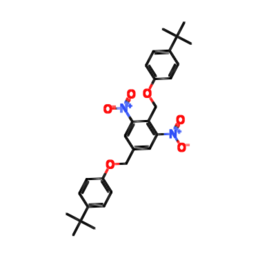 CC(C)(C)c1ccc(OCc2cc([N+](=O)[O-])c(COc3ccc(C(C)(C)C)cc3)c([N+](=O)[O-])c2)cc1